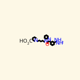 N=C(N)c1cccc(-c2nc3ccccc3n(CCCCCN3CCCC(C(=O)O)C3)c2=O)c1